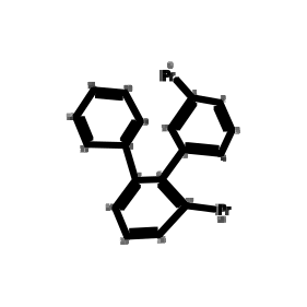 CC(C)c1cccc(-c2c(-c3ccccc3)cccc2C(C)C)c1